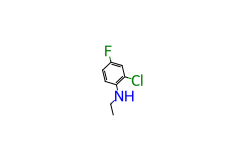 CCNc1ccc(F)cc1Cl